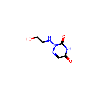 O=c1cnn(NCCO)c(=O)[nH]1